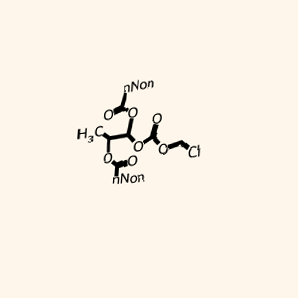 CCCCCCCCCC(=O)OC(C)C(OC(=O)CCCCCCCCC)OC(=O)OCCl